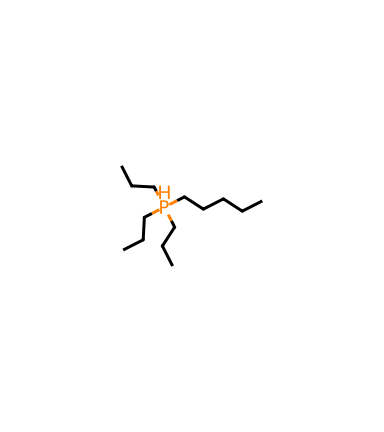 CCCCC[PH](CCC)(CCC)CCC